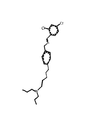 CCCN(CCC)CCC[CH]Cc1ccc(CN=Cc2ccc(Cl)cc2Cl)cc1